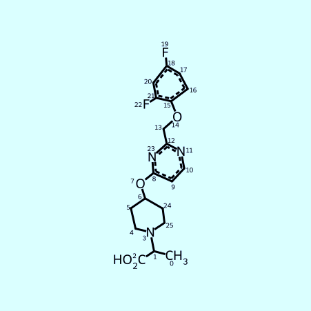 CC(C(=O)O)N1CCC(Oc2ccnc(COc3ccc(F)cc3F)n2)CC1